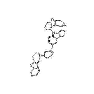 C=C(/C=c1\c(=C/C)sc2ccccc12)c1cccc(-c2ccc3c(c2)c2ccccc2n3-c2cccc3oc4ccccc4c23)n1